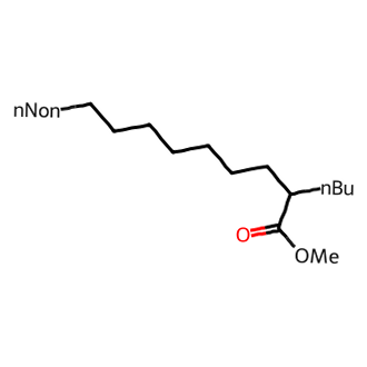 CCCCCCCCCCCCCCCCC(CCCC)C(=O)OC